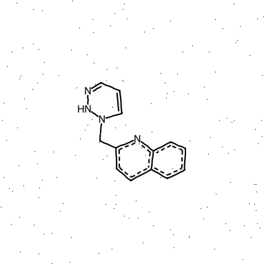 C1=CN(Cc2ccc3ccccc3n2)NN=C1